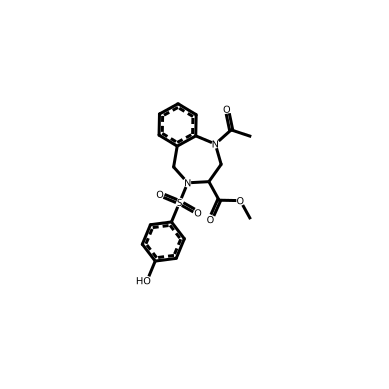 COC(=O)C1CN(C(C)=O)c2ccccc2CN1S(=O)(=O)c1ccc(O)cc1